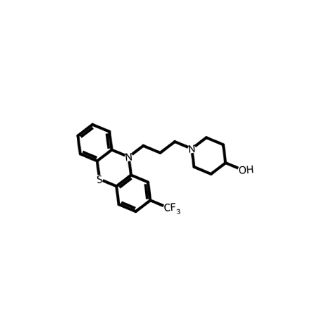 OC1CCN(CCCN2c3ccccc3Sc3ccc(C(F)(F)F)cc32)CC1